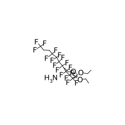 CCO[Si](OCC)(OCC)C(F)(F)C(F)(F)C(F)(F)C(F)(F)C(F)(F)C(F)(F)C(F)(F)CCC(F)(F)F.N